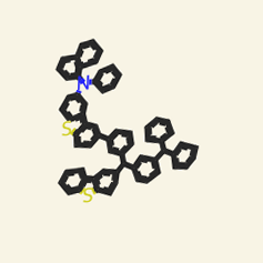 c1ccc(C(c2ccccc2)c2cccc(C(c3cccc(-c4ccc5sc6ccc(N(c7ccccc7)c7cccc8ccccc78)cc6c5c4)c3)c3ccc4sc5ccccc5c4c3)c2)cc1